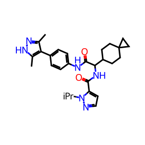 Cc1n[nH]c(C)c1-c1ccc(NC(=O)C(NC(=O)c2ccnn2C(C)C)C2CCC3(CC2)CC3)cc1